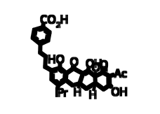 CC(=O)C1=C(O)C[C@@H]2C[C@@H]3Cc4c(C(C)C)cc(CCCc5ccc(C(=O)O)cc5)c(O)c4C(=O)C3=C(O)[C@]2(O)C1=O